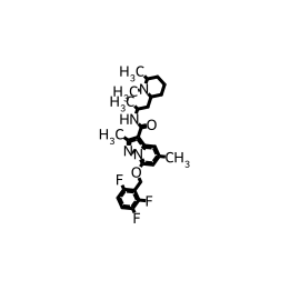 Cc1cc(OCc2c(F)ccc(F)c2F)n2nc(C)c(C(=O)NC(C)CC3CCCC(C)N3C)c2c1